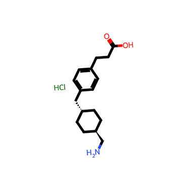 Cl.NC[C@H]1CC[C@H](Cc2ccc(CCC(=O)O)cc2)CC1